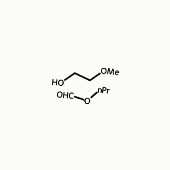 CCCOC=O.COCCO